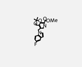 COC(=O)c1ncc(Cn2ccc3cc(F)ccc32)c2c1OC(C)(C)OC2